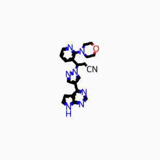 N#CCC(c1cccnc1N1CCOCC1)n1cc(-c2ncnc3[nH]ccc23)cn1